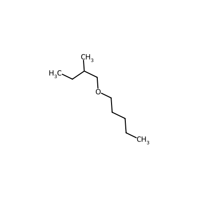 CCCCCOCC(C)CC